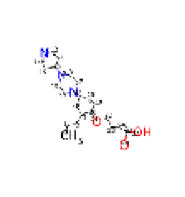 CCCc1cc(N2CCN(c3ccncc3)CC2)ccc1OCCCC(=O)O